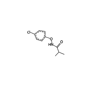 CC(C)C(=O)NOc1ccc(Cl)cc1